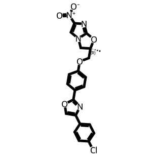 C[C@]1(COc2ccc(-c3nc(-c4ccc(Cl)cc4)co3)cc2)Cn2cc([N+](=O)[O-])nc2O1